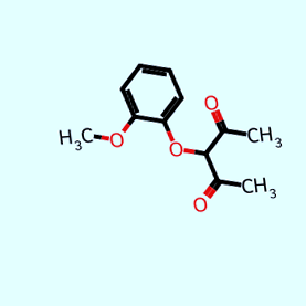 COc1ccccc1OC(C(C)=O)C(C)=O